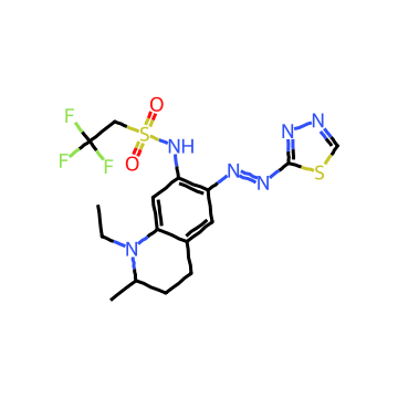 CCN1c2cc(NS(=O)(=O)CC(F)(F)F)c(N=Nc3nncs3)cc2CCC1C